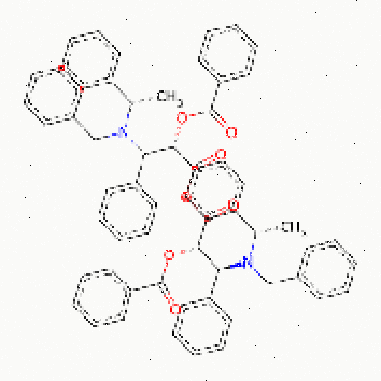 C[C@@H](c1ccccc1)N(Cc1ccccc1)[C@@H](c1ccccc1)[C@H](OC(=O)c1ccccc1)C(=O)OC(=O)[C@@H](OC(=O)c1ccccc1)[C@H](c1ccccc1)N(Cc1ccccc1)[C@@H](C)c1ccccc1